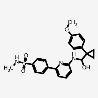 CNS(=O)(=O)c1ccc(-c2cccc(NC(O)C3(c4ccc(OC)cc4)CC3)n2)cc1